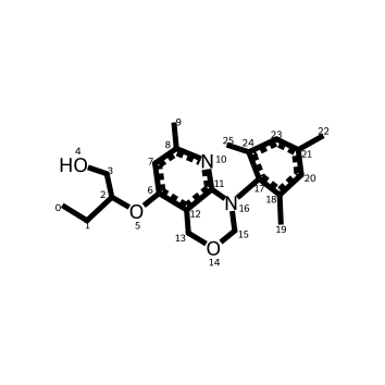 CCC(CO)Oc1cc(C)nc2c1COCN2c1c(C)cc(C)cc1C